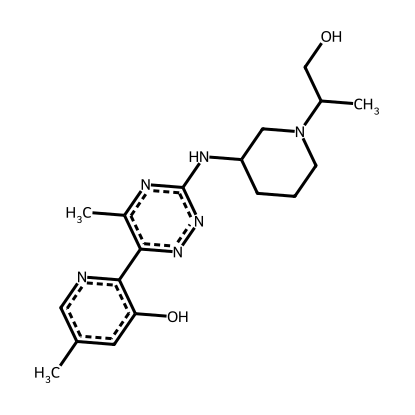 Cc1cnc(-c2nnc(NC3CCCN(C(C)CO)C3)nc2C)c(O)c1